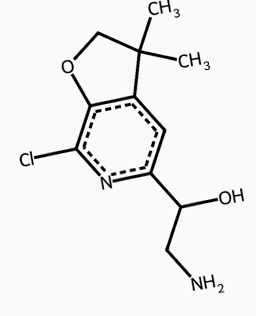 CC1(C)COc2c1cc(C(O)CN)nc2Cl